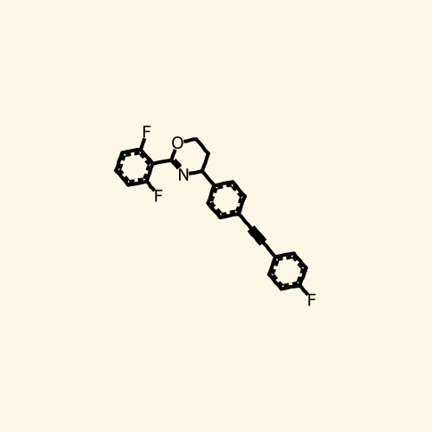 Fc1ccc(C#Cc2ccc(C3CCOC(c4c(F)cccc4F)=N3)cc2)cc1